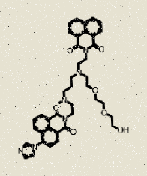 CN(CCCN(CCOCCOCCO)CCN1C(=O)c2cccc3cccc(c23)C1=O)CCN1C(=O)c2cccc3c(-n4ccnc4)ccc(c23)C1=O